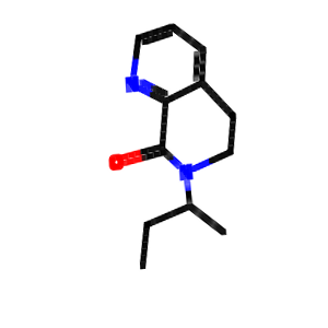 CCC(C)N1CCc2cccnc2C1=O